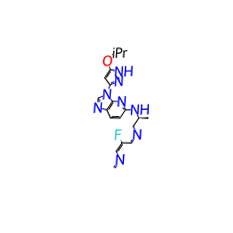 C=N/C=C(F)\C=N/C[C@H](C)Nc1ccc2ncn(-c3cc(OC(C)C)[nH]n3)c2n1